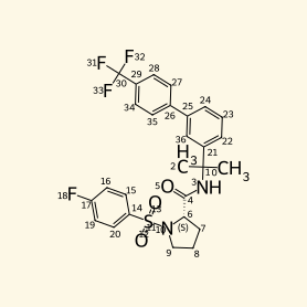 CC(C)(NC(=O)[C@@H]1CCCN1S(=O)(=O)c1ccc(F)cc1)c1cccc(-c2ccc(C(F)(F)F)cc2)c1